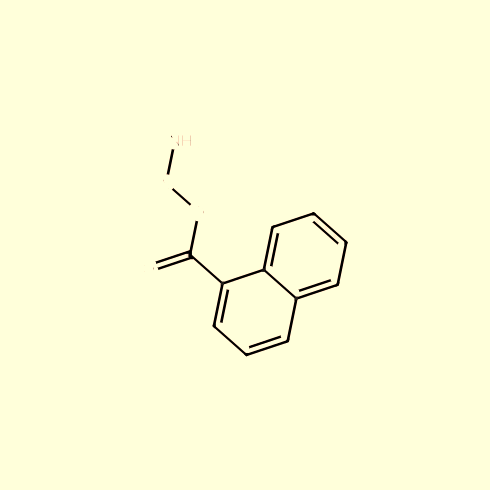 NSOC(=O)c1cccc2ccccc12